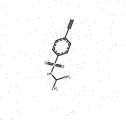 [C]#Cc1ccc(S(=O)(=O)NC(C)N)cc1